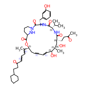 CC(=O)CC[C@H]1C(=O)N[C@@H](C(C)C)C(=O)N[C@@H](Cc2cccc(O)c2)C(=O)N2CCCC(N2)C(=O)O[C@H](/C(C)=C/C=C/C(=O)CCC2CCCCC2)C/C=C/C=C/[C@H](O)[C@H](C)[C@H]1O